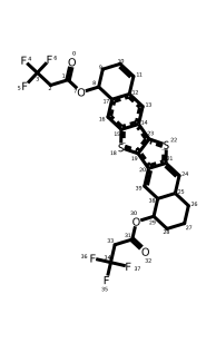 O=C(CC(F)(F)F)OC1CC=Cc2cc3c(cc21)sc1c2c(sc13)=CC1CCCC(OC(=O)CC(F)(F)F)C1C=2